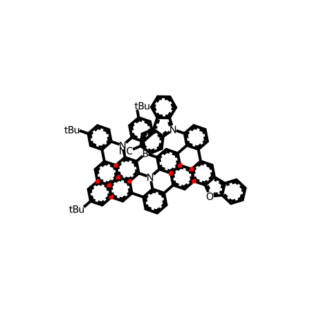 CC(C)(C)c1ccc(-c2cc3c4c(c2)N(c2c(-c5ccccc5)cccc2-c2ccccc2)c2ccc(-c5c(-c6ccc7oc8ccccc8c7c6)cccc5-n5c6ccccc6c6cc(C#N)ccc65)cc2B4c2ccc(C(C)(C)C)cc2N3c2ccc(C(C)(C)C)cc2-c2ccccc2)cc1